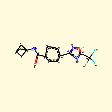 O=C(NC12CC(C1)C2)c1ccc(-c2noc(C(F)(F)F)n2)cc1